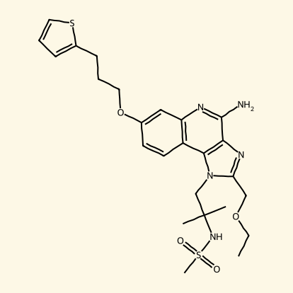 CCOCc1nc2c(N)nc3cc(OCCCc4cccs4)ccc3c2n1CC(C)(C)NS(C)(=O)=O